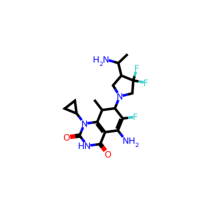 CC(N)C1CN(C2C(F)=C(N)c3c(n(C4CC4)c(=O)[nH]c3=O)C2C)CC1(F)F